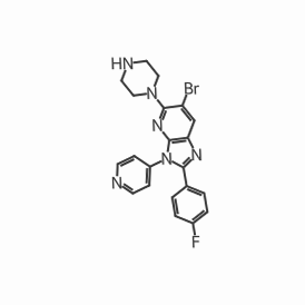 Fc1ccc(-c2nc3cc(Br)c(N4CCNCC4)nc3n2-c2ccncc2)cc1